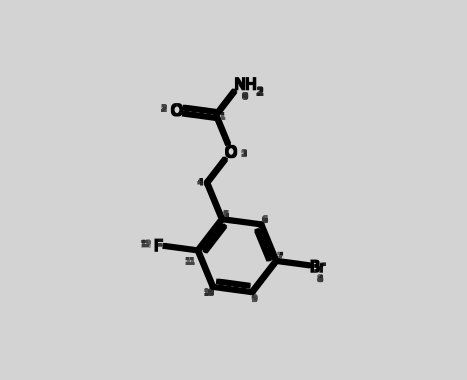 NC(=O)OCc1cc(Br)ccc1F